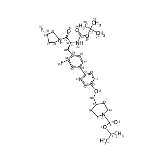 CC(C)OC(=O)N1CCC(COc2ccc(-c3ccc(C[C@H](NC(=O)OC(C)(C)C)C(=O)N4CC[C@H](F)C4)c(F)c3)nc2)CC1